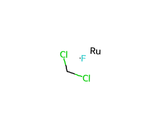 ClCCl.[F].[Ru]